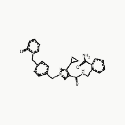 NC(=O)c1ccccc1CNC(=O)c1cn(Cc2ccc(Cn3ccccc3=O)cc2)nc1C1CC1